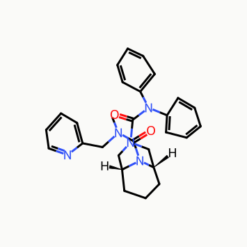 CN(Cc1ccccn1)C(=O)N1[C@@H]2CCC[C@H]1CN(C(=O)N(c1ccccc1)c1ccccc1)C2